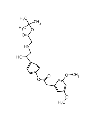 COc1cc(CC(=O)Oc2ccc(C(O)CNCC(=O)OC(C)(C)C)cc2)cc(OC)c1